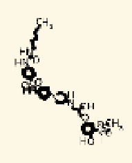 CCCCCCNC(=O)Nc1ccc(S(=O)(=O)Nc2ccc(N3CCC(NCC(O)COc4ccc(O)c(NS(C)(=O)=O)c4)CC3)cc2)cc1